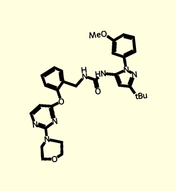 COc1cccc(-n2nc(C(C)(C)C)cc2NC(=O)NCc2ccccc2Oc2ccnc(N3CCOCC3)n2)c1